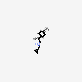 CC(=O)[C@H](CNCC1CC1)c1ccc(C(F)(F)F)cc1